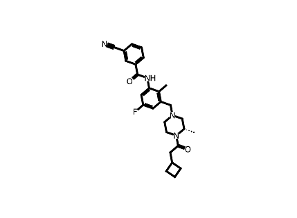 Cc1c(CN2CCN(C(=O)CC3CCC3)[C@@H](C)C2)cc(F)cc1NC(=O)c1cccc(C#N)c1